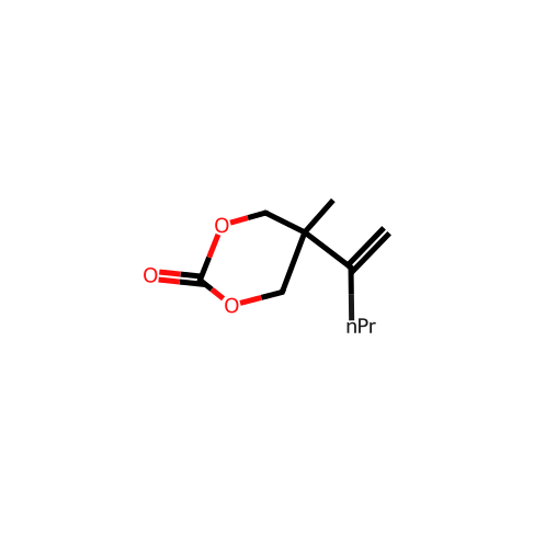 C=C(CCC)C1(C)COC(=O)OC1